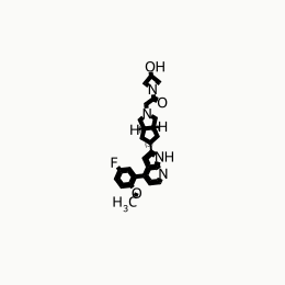 COc1ccc(F)cc1-c1ccnc2[nH]c([C@H]3C[C@@H]4CN(CC(=O)N5CC(O)C5)C[C@@H]4C3)cc12